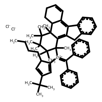 CCCCC1C=C(C(C)(C)C)C=[C]1[Zr+2](=[C](c1ccccc1)c1ccccc1)[C]1(C)C2=C3Cc4ccccc4C3=C3C=CCCC3C2(C)C(C)(C)C(C)(C)C1(C)C.[Cl-].[Cl-]